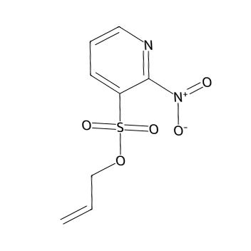 C=CCOS(=O)(=O)c1cccnc1[N+](=O)[O-]